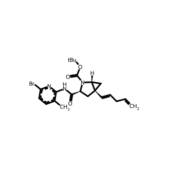 C=CC/C=C/[C@@]12C[C@@H](C(=O)Nc3nc(Br)ccc3C)N(C(=O)OC(C)(C)C)[C@@H]1C2